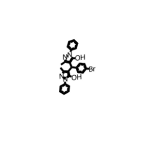 Cc1nn(-c2ccccc2)c(O)c1C(c1ccc(Br)cc1)c1c(C)nn(-c2ccccc2)c1O